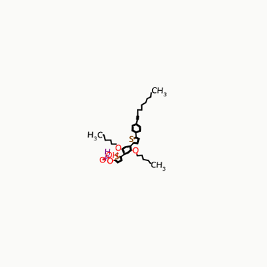 CCCCCCCCC#Cc1ccc(-c2ccc(-c3cc(OCCCCCC)c(-c4ccc(O[PH](=O)O)s4)cc3OCCCCCC)s2)cc1